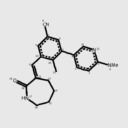 CNc1ccc(-c2cc(C#N)cc(/C=C3\CCCCNC3=O)c2C)cn1